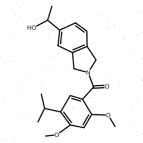 COc1cc(OC)c(C(C)C)cc1C(=O)N1Cc2ccc(C(C)O)cc2C1